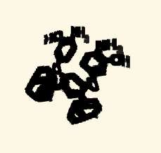 Nc1ccc(Oc2cc(Oc3ccc(N)c(O)c3)c(C34CC5CC(CC(C5)C3)C4)cc2C23CC4CC(CC(C4)C2)C3)cc1O